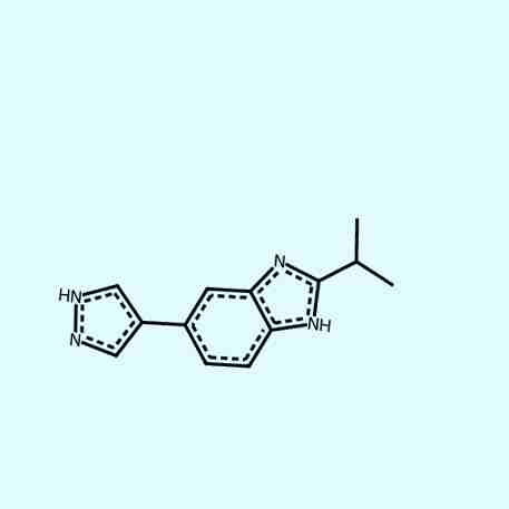 CC(C)c1nc2cc(-c3cn[nH]c3)ccc2[nH]1